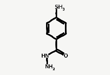 NNC(=O)c1ccc([SiH3])cc1